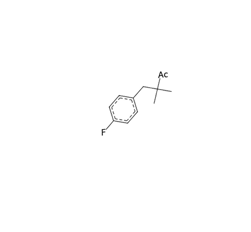 CC(=O)C(C)(C)Cc1ccc(F)cc1